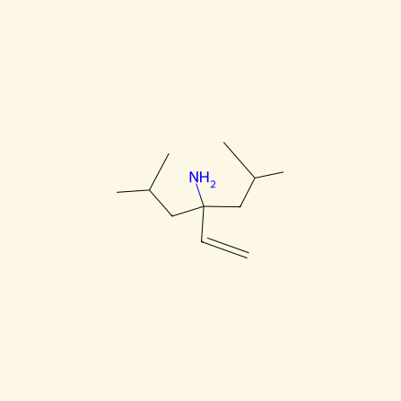 C=CC(N)(CC(C)C)CC(C)C